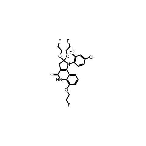 Cc1cc(O)ccc1N1c2c(c(=O)[nH]c3c(OCCF)cccc23)CC1(OCCF)OCCF